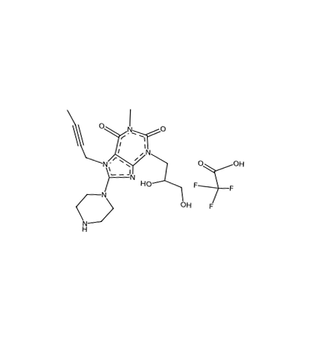 CC#CCn1c(N2CCNCC2)nc2c1c(=O)n(C)c(=O)n2CC(O)CO.O=C(O)C(F)(F)F